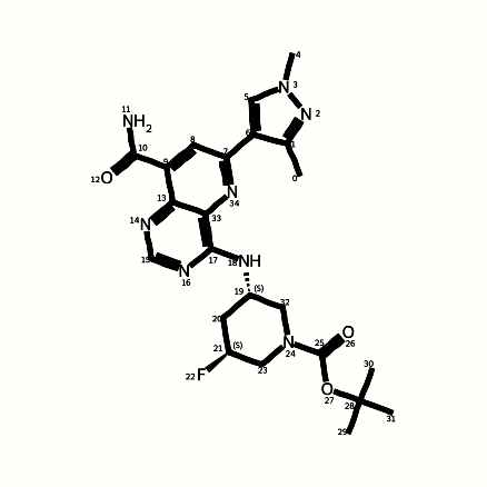 Cc1nn(C)cc1-c1cc(C(N)=O)c2ncnc(N[C@H]3C[C@H](F)CN(C(=O)OC(C)(C)C)C3)c2n1